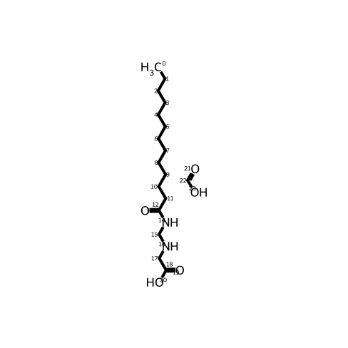 CCCCCCCCCCCCC(=O)NCNCC(=O)O.O=CO